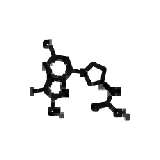 CC(=O)N[C@@H]1CCN(c2cc(Cl)nn3c(I)c(C)nc23)C1